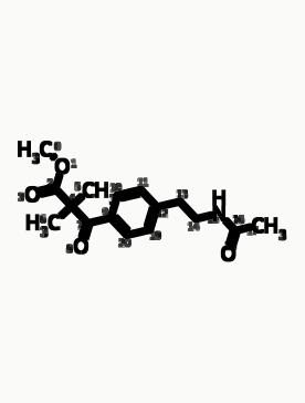 COC(=O)C(C)(C)C(=O)c1ccc(CCNC(C)=O)cc1